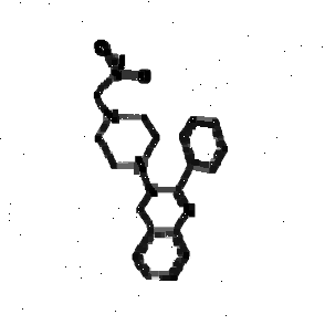 O=[SH](=O)CN1CCN(N2Cc3ccccc3N=C2c2ccccc2)CC1